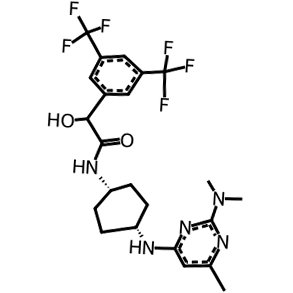 Cc1cc(N[C@H]2CC[C@@H](NC(=O)C(O)c3cc(C(F)(F)F)cc(C(F)(F)F)c3)CC2)nc(N(C)C)n1